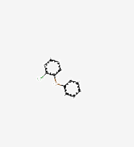 Clc1ccccc1Sc1[c]cccc1